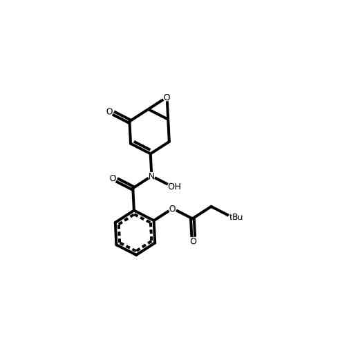 CC(C)(C)CC(=O)Oc1ccccc1C(=O)N(O)C1=CC(=O)C2OC2C1